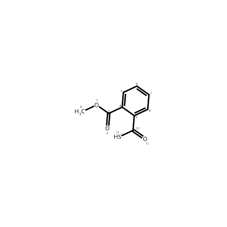 COC(=O)c1ccccc1C(=O)S